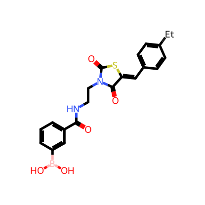 CCc1ccc(/C=C2\SC(=O)N(CCNC(=O)c3cccc(B(O)O)c3)C2=O)cc1